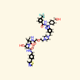 Cc1ncsc1-c1ccc(CNC(=O)[C@@H]2C[C@@H](O)CN2C(=O)[C@@H](NC(=O)COCCN2CCN(Cc3ccc4c(c3)nc(NC(=O)c3cccc(C(F)(F)F)c3)n4[C@H]3CC[C@@H](CO)CC3)CC2)C(C)(C)C)cc1